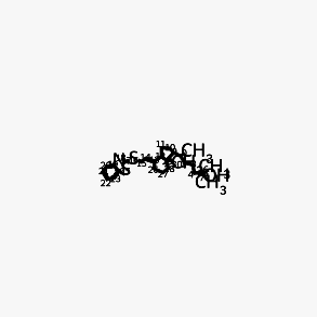 CC(CCCC(C)(C)O)C1CCC2/C(=C/CSc3nc4ccccc4s3)CCCC21C